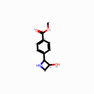 COC(=O)c1ccc(C2NCC2O)cc1